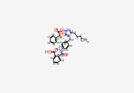 CCCCc1nnc(SC(C(=O)O)c2ccccc2)n1Cc1ccc(NC(=O)c2ccccc2C(=O)O)cc1